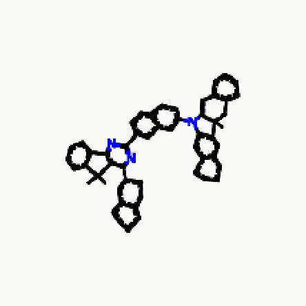 CC12Cc3ccccc3C=C1N(c1ccc3ccc(-c4nc(-c5ccc6ccccc6c5)c5c(n4)-c4ccccc4C5(C)C)cc3c1)c1cc3ccccc3cc12